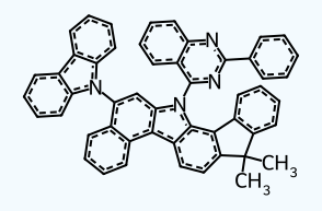 CC1(C)c2ccccc2-c2c1ccc1c3c4ccccc4c(-n4c5ccccc5c5ccccc54)cc3n(-c3nc(-c4ccccc4)nc4ccccc34)c21